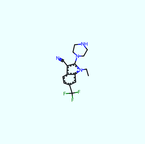 CCn1c(N2CCNCC2)c(C#N)c2ccc(C(F)(F)F)cc21